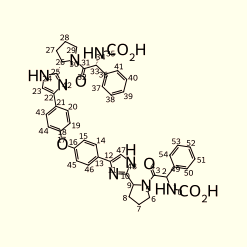 O=C(O)NC(C(=O)N1CCCC1c1nc(-c2ccc(Oc3ccc(-c4c[nH]c([C@@H]5CCCN5C(=O)[C@H](NC(=O)O)c5ccccc5)n4)cc3)cc2)c[nH]1)c1ccccc1